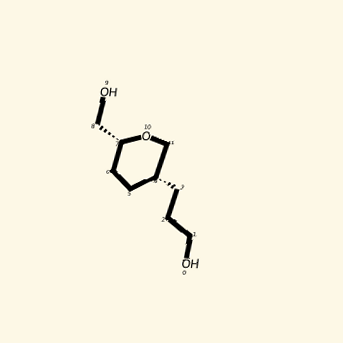 OCCC[C@@H]1CC[C@H](CO)OC1